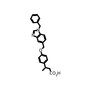 CC(CC(=O)O)c1ccc(OCc2ccc3c(c2)ncn3Cc2ccccc2)cc1